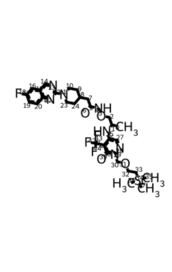 CC(CONC(=O)CC1CCN(c2ncc3cc(F)ccc3n2)CC1)Nc1cnn(COCC[Si](C)(C)C)c(=O)c1C(F)(F)F